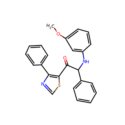 COc1cccc(NC(C(=O)c2scnc2-c2ccccc2)c2ccccc2)c1